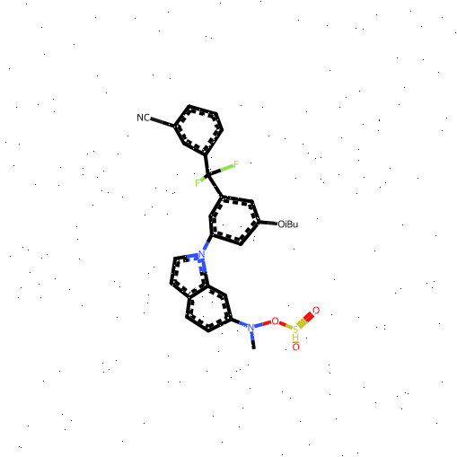 CC(C)COc1cc(-n2ccc3ccc(N(C)O[SH](=O)=O)cc32)cc(C(F)(F)c2cccc(C#N)c2)c1